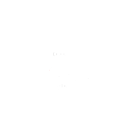 CCOC(=O)c1ccccc1C(=O)OCC(C)C